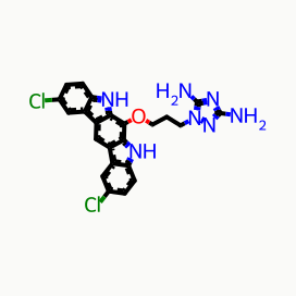 Nc1nc(N)n(CCCOc2c3[nH]c4ccc(Cl)cc4c3cc3c2[nH]c2ccc(Cl)cc23)n1